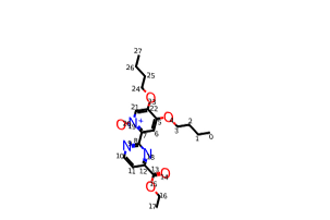 CCCCOc1cc(-c2nccc(C(=O)OCC)n2)[n+]([O-])cc1OCCCC